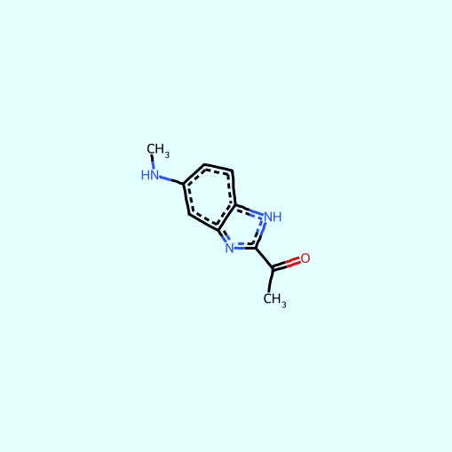 CNc1ccc2[nH]c(C(C)=O)nc2c1